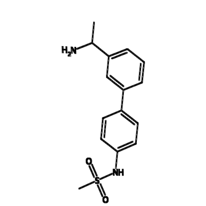 CC(N)c1cccc(-c2ccc(NS(C)(=O)=O)cc2)c1